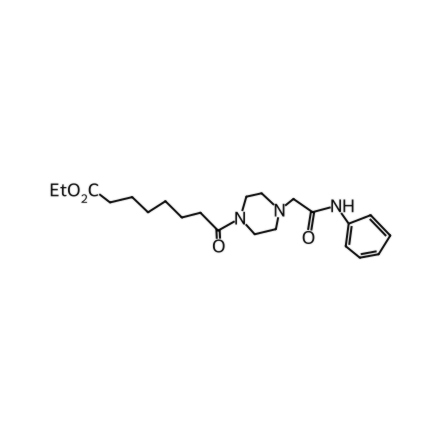 CCOC(=O)CCCCCCC(=O)N1CCN(CC(=O)Nc2ccccc2)CC1